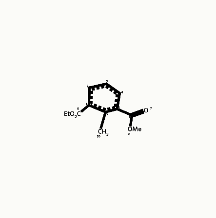 CCOC(=O)c1cccc(C(=O)OC)c1C